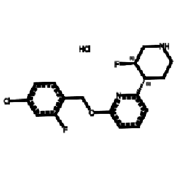 Cl.Fc1cc(Cl)ccc1COc1cccc([C@H]2CCNC[C@@H]2F)n1